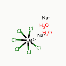 O.O.[Cl][Os-2]([Cl])([Cl])([Cl])([Cl])[Cl].[Na+].[Na+]